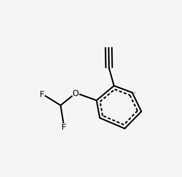 C#Cc1[c]cccc1OC(F)F